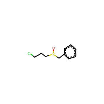 [O-][S+](CCCCl)Cc1ccccc1